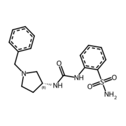 NS(=O)(=O)c1ccccc1NC(=O)N[C@@H]1CCN(Cc2ccccc2)C1